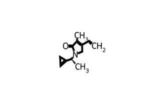 C=CC1=C(C)C(=O)N([C@@H](C)C2=CC2)C1